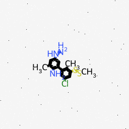 CSSc1cc(Cl)cc(-c2cc(NN)cc(C)c2N)c1C